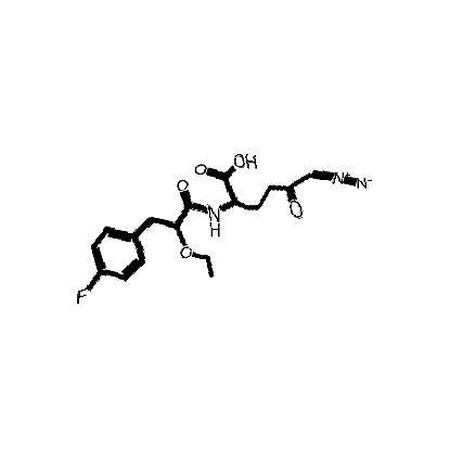 CCOC(Cc1ccc(F)cc1)C(=O)NC(CCC(=O)C=[N+]=[N-])C(=O)O